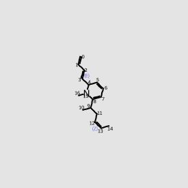 C=C/C=C/C1C=CC=C(C(C)C/C=C\C)N1C